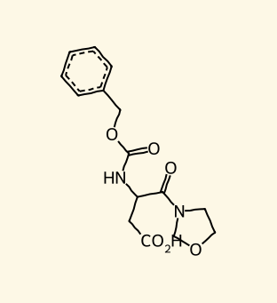 O=C(O)CC(NC(=O)OCc1ccccc1)C(=O)N1CCOC1